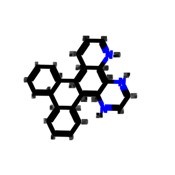 c1ccc2c(c1)c1ccccc1c1c3nccnc3c3ncccc3c21